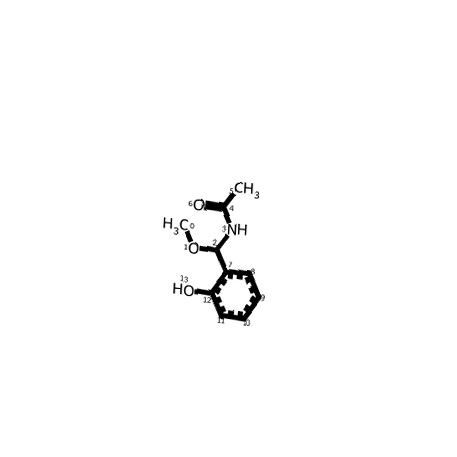 COC(NC(C)=O)c1ccccc1O